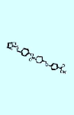 O=C(O)c1ccc(OCC2CCN(C(=O)Oc3ccc(CSc4ncc[nH]4)cc3)CC2)cc1